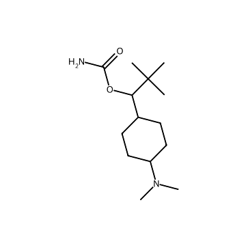 CN(C)C1CCC(C(OC(N)=O)C(C)(C)C)CC1